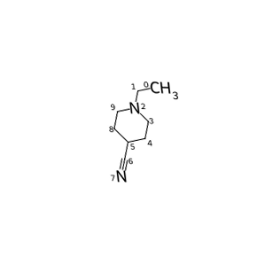 CCN1CCC(C#N)CC1